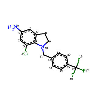 Nc1cc(Cl)c2c(c1)CCN2Cc1ccc(C(F)(F)F)cc1